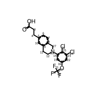 O=C(O)CCc1ccc2c(c1)CCN(c1cc(OC(F)(F)F)cc(Cl)c1Cl)C2